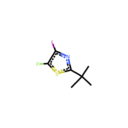 CC(C)(C)c1nc(I)c(F)s1